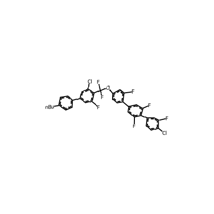 CCCCc1ccc(-c2cc(F)c(C(F)(F)Oc3ccc(-c4cc(F)c(-c5ccc(Cl)c(F)c5)c(F)c4)c(F)c3)c(Cl)c2)cc1